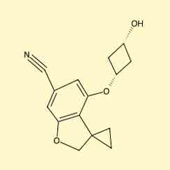 N#Cc1cc2c(c(O[C@H]3C[C@@H](O)C3)c1)C1(CC1)CO2